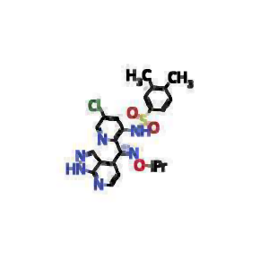 Cc1ccc(S(=O)(=O)Nc2cc(Cl)cnc2/C(=N/OC(C)C)c2ccnc3[nH]ncc23)cc1C